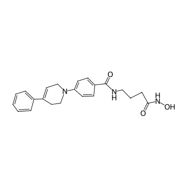 O=C(CCCNC(=O)c1ccc(N2CC=C(c3ccccc3)CC2)cc1)NO